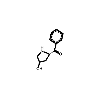 O=C(c1ccccc1)[C@@H]1CC(O)CN1